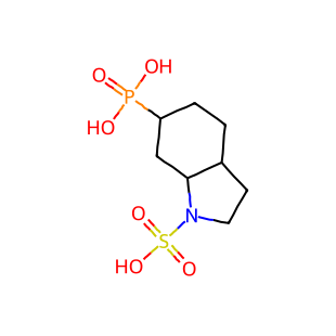 O=P(O)(O)C1CCC2CCN(S(=O)(=O)O)C2C1